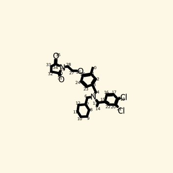 Cc1cc(CN(CC2CCCCC2)C(C)c2ccc(Cl)c(Cl)c2)ccc1OCCN1C(=O)CCC1=O